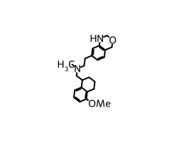 COc1cccc2c1CCCC2CN(C)CCc1ccc2c(c1)NCOC2